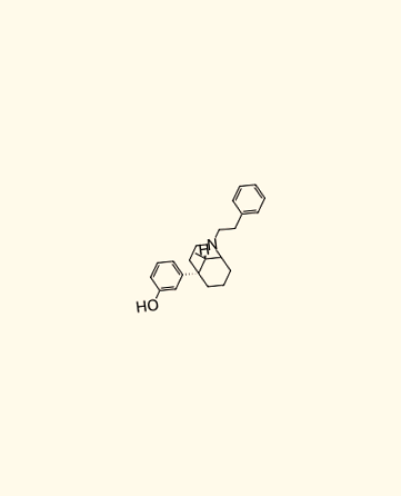 C[C@@H]1C2CCC[C@@]1(c1cccc(O)c1)CCN2CCc1ccccc1